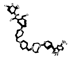 CN(C(=O)c1cc(N2CCC(CN3CCC(CN4CCN(c5cc(-c6n[nH]c7ccc(N)cc67)ccn5)CC4)CC3)CC2)ccc1C=O)C1CCC(=O)NC1=O